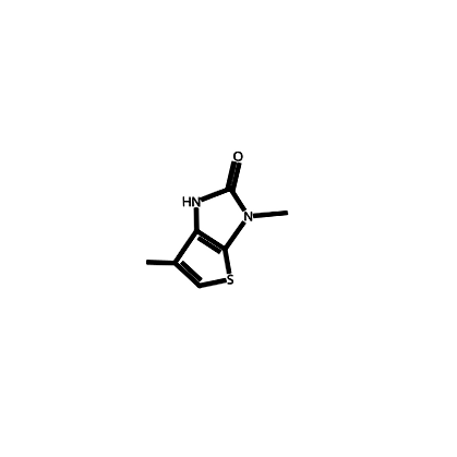 Cc1csc2c1[nH]c(=O)n2C